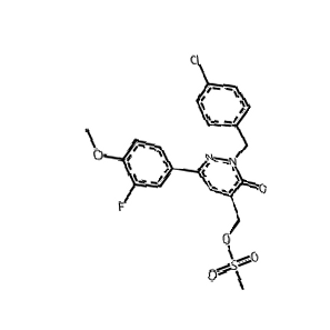 COc1ccc(-c2cc(COS(C)(=O)=O)c(=O)n(Cc3ccc(Cl)cc3)n2)cc1F